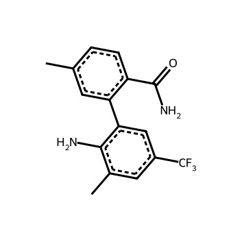 Cc1ccc(C(N)=O)c(-c2cc(C(F)(F)F)cc(C)c2N)c1